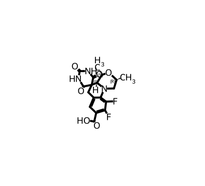 C[C@@H]1CN2c3c(cc(C(=O)O)c(F)c3F)CC3(C(=O)NC(=O)NC3=O)[C@H]2[C@H](C)O1